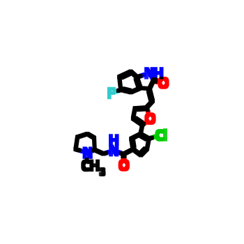 CN1CCCCC1CNC(=O)c1ccc(Cl)c(-c2ccc(/C=C3/C(=O)Nc4ccc(F)cc43)o2)c1